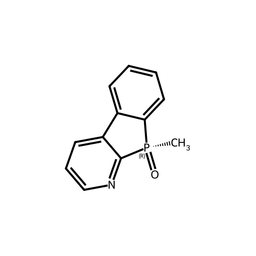 C[P@@]1(=O)c2ccccc2-c2cccnc21